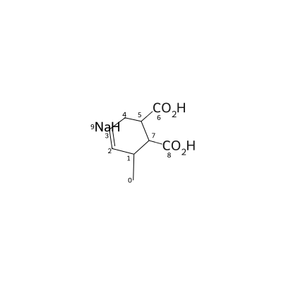 CC1C=CCC(C(=O)O)C1C(=O)O.[NaH]